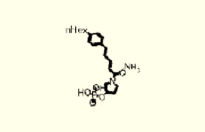 CCCCCCc1ccc(CCCCC(=O)N2CC[C@@H](OP(=O)(O)O)C2)cc1.N